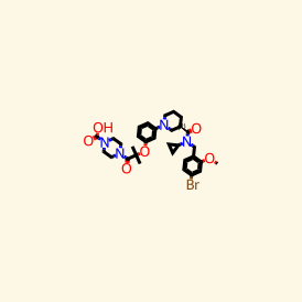 COc1cc(Br)ccc1CN(C(=O)[C@@H]1CCCN(c2cccc(OC(C)(C)C(=O)N3CCN(C(=O)O)CC3)c2)C1)C1CC1